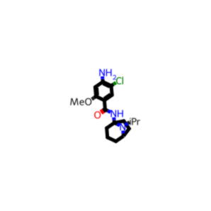 COc1cc(N)c(Cl)cc1C(=O)NC12CCCC(CC1)N2C(C)C